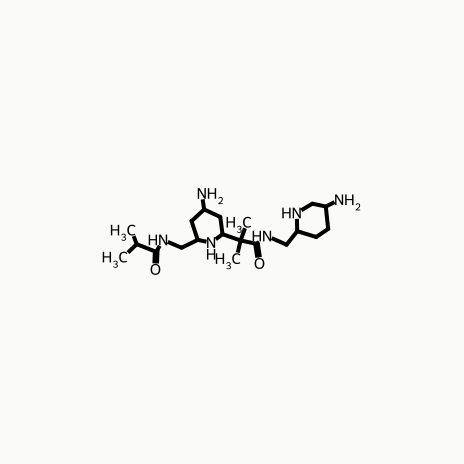 CC(C)C(=O)NCC1CC(N)CC(C(C)(C)C(=O)NCC2CCC(N)CN2)N1